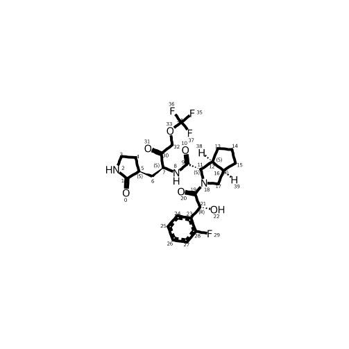 O=C1NCC[C@H]1C[C@H](NC(=O)[C@@H]1[C@H]2CCC[C@H]2CN1C(=O)[C@H](O)c1ccccc1F)C(=O)COC(F)(F)F